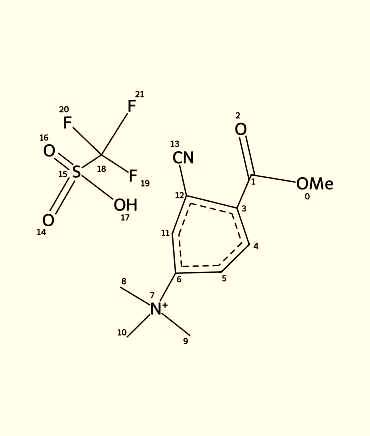 COC(=O)c1ccc([N+](C)(C)C)cc1C#N.O=S(=O)(O)C(F)(F)F